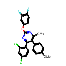 COc1ccc(-c2c(OC)nc(Oc3ccc(F)c(F)c3)nc2-c2ccc(Cl)cc2Cl)cc1